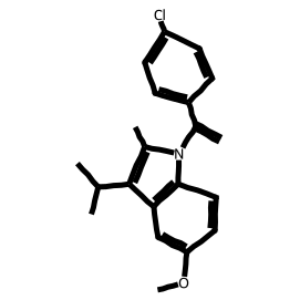 C=C(c1ccc(Cl)cc1)n1c(C)c(C(C)C)c2cc(OC)ccc21